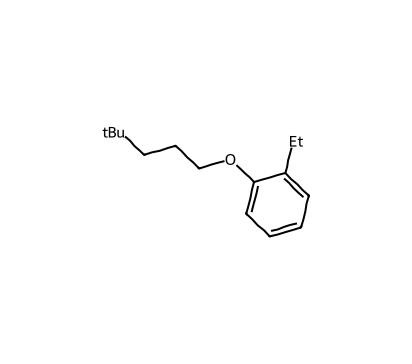 CCc1ccccc1OCCCC(C)(C)C